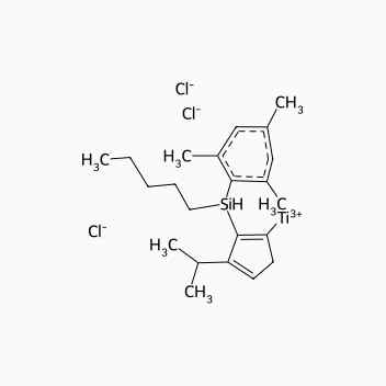 CCCCC[SiH](C1=[C]([Ti+3])CC=C1C(C)C)c1c(C)cc(C)cc1C.[Cl-].[Cl-].[Cl-]